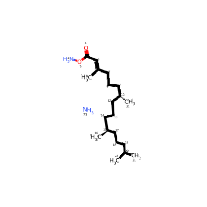 C/C(=C\C(=O)ON)CCC[C@H](C)CCC[C@H](C)CCCC(C)C.N